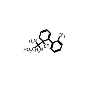 NC(N)(C(=O)O)C1(C(F)(F)F)CC=CC=C1c1ccccc1C(F)(F)F